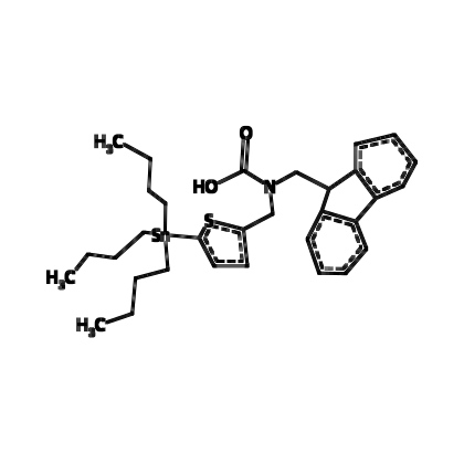 CCC[CH2][Sn]([CH2]CCC)([CH2]CCC)[c]1ccc(CN(CC2c3ccccc3-c3ccccc32)C(=O)O)s1